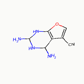 N#Cc1coc2c1C(N)NC(N)N2